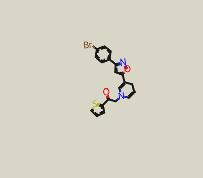 O=C(CN1C=CCC(c2cc(-c3ccc(Br)cc3)no2)=C1)c1cccs1